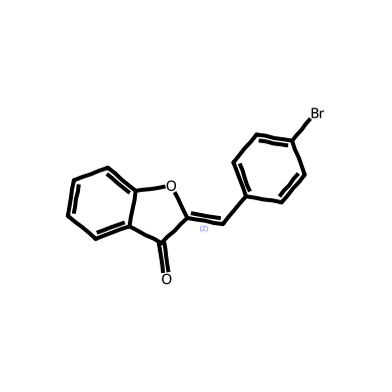 O=C1/C(=C/c2ccc(Br)cc2)Oc2ccccc21